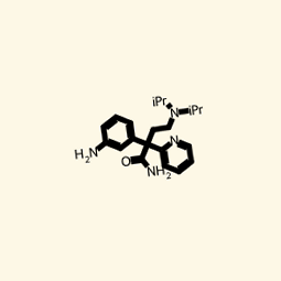 CC(C)N(CCC(C(N)=O)(c1cccc(N)c1)c1ccccn1)C(C)C